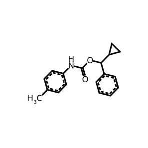 Cc1ccc(NC(=O)OC(c2ccccc2)C2CC2)cc1